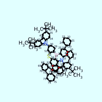 CC(C)(C)c1cc(-c2ccccc2)c(N2c3ccc(-c4ccccc4)cc3B3c4ccc(-n5c6ccc(C(C)(C)C)cc6c6cc(C(C)(C)C)ccc65)cc4Sc4cc(C5(c6ccccc6)c6ccccc6-c6ccccc65)cc2c43)c(-c2ccccc2)c1